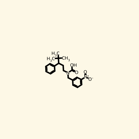 CC(C)(C)C(CCN(Cc1cccc([N+](=O)[O-])c1)C(=O)O)c1ccccc1